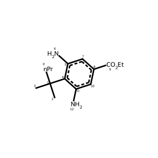 CCCC(C)(C)c1c(N)cc(C(=O)OCC)cc1N